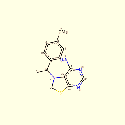 COc1ccc(C(C)N2CSc3ncnc(N)c32)cc1